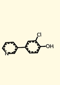 Oc1ccc(-c2cccnc2)cc1Cl